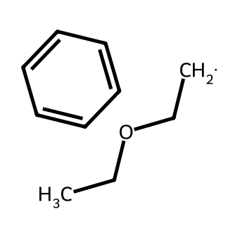 [CH2]COCC.c1ccccc1